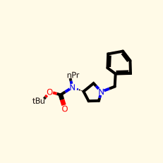 CCCN(C(=O)OC(C)(C)C)[C@H]1CCN(Cc2ccccc2)C1